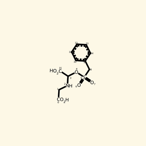 O=C(O)CNC(OS(=O)(=O)Cc1ccccc1)C(=O)O